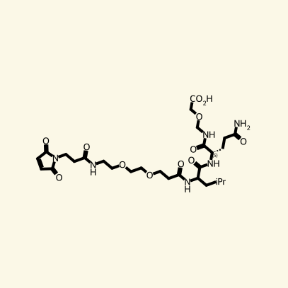 CC(C)CC(NC(=O)CCOCCOCCNC(=O)CCN1C(=O)C=CC1=O)C(=O)N[C@@H](CCC(N)=O)C(=O)NCOCC(=O)O